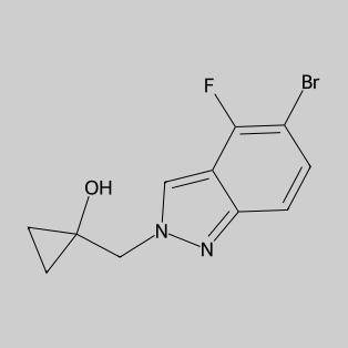 OC1(Cn2cc3c(F)c(Br)ccc3n2)CC1